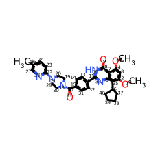 COc1cc(OC)c2c(=O)[nH]c(-c3ccc(C(=O)N4CCN(c5ccc(C)cn5)CC4)cc3)nc2c1C1CCCC1